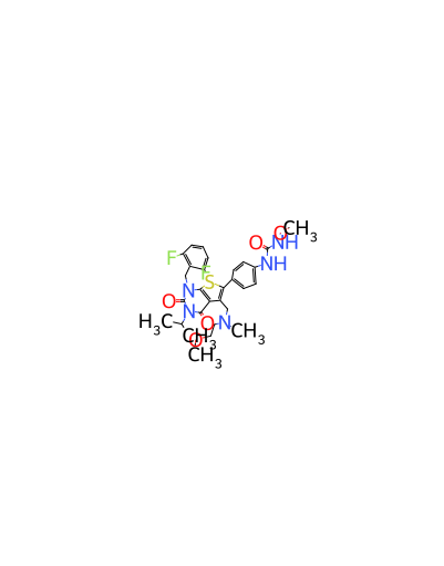 COCCN(C)Cc1c(-c2ccc(NC(=O)NOC)cc2)sc2c1c(=O)n(C(C)C)c(=O)n2Cc1c(F)cccc1F